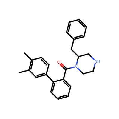 Cc1ccc(-c2ccccc2C(=O)N2CCNCC2Cc2ccccc2)cc1C